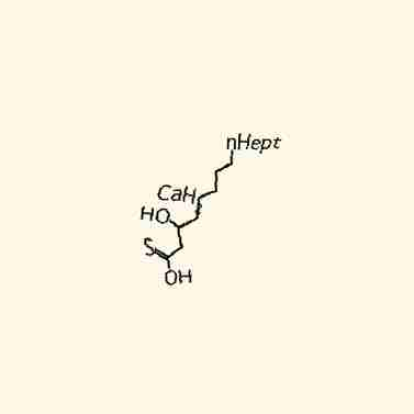 CCCCCCCCCCCCC(O)CC(O)=S.[CaH2]